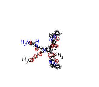 COCCOCCOCCN(CCCC(=O)NCCCON)c1cc(COc2cc3c(cc2OC)C(=O)N2c4ccccc4C[C@H]2C=N3)cc(COc2cc3c(cc2OC)C(=O)N2c4ccccc4C[C@H]2C=N3)c1